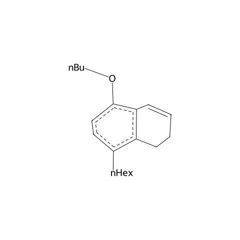 CCCCCCc1ccc(OCCCC)c2c1CCC=C2